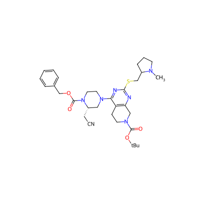 CN1CCCC1CSc1nc2c(c(N3CCN(C(=O)OCc4ccccc4)[C@@H](CC#N)C3)n1)CCN(C(=O)OC(C)(C)C)C2